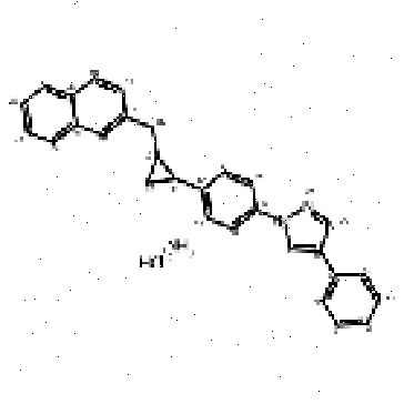 Cl.N.c1ccc(-c2cn(-c3ccc(C4CC4Cc4ccc5ccccc5c4)cc3)nn2)cc1